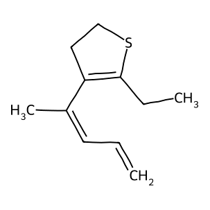 C=C/C=C(/C)C1=C(CC)SCC1